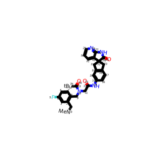 CNCc1cc(F)ccc1CN(CC(=O)Nc1ccc2c(c1)CC1(C2)C(=O)Nc2ncccc21)C(=O)C(C)(C)C